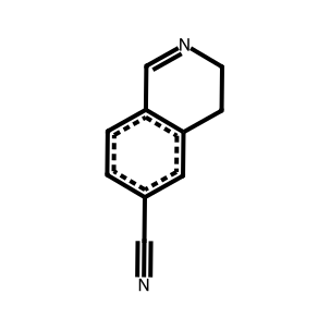 N#Cc1ccc2c(c1)CCN=C2